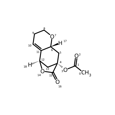 CC(=O)O[C@@]12C[C@H]3OCCC=C3[C@@H](C1)OC2=O